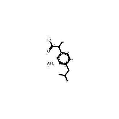 CC(C)Cc1ccc(C(C)C(=O)O)cc1.[AlH3]